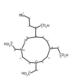 CC(C)(C)CCC(C(=O)O)C1CCN(CC(=O)O)CCN(CC(=O)O)CCN(CC(=O)O)CC1